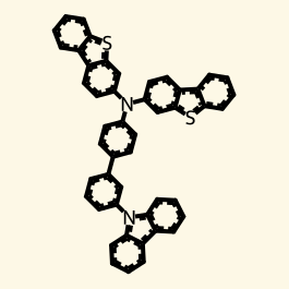 c1cc(-c2ccc(N(c3ccc4c(c3)sc3ccccc34)c3ccc4c(c3)sc3ccccc34)cc2)cc(-n2c3ccccc3c3ccccc32)c1